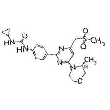 C[C@H]1COCCN1c1cc(CS(C)(=O)=O)nc(-c2ccc(NC(=O)NC3CC3)cc2)n1